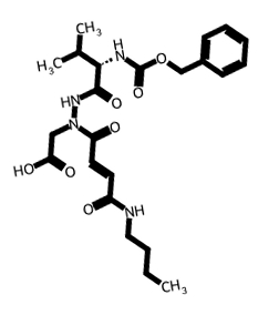 CCCCNC(=O)/C=C/C(=O)N(CC(=O)O)NC(=O)[C@@H](NC(=O)OCc1ccccc1)C(C)C